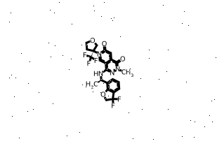 C[C@@H](Nc1nn(C)c(=O)c2cc(=O)n([C@@]3(C(F)(F)F)CCOC3)cc12)c1cccc2c1OCC2(F)F